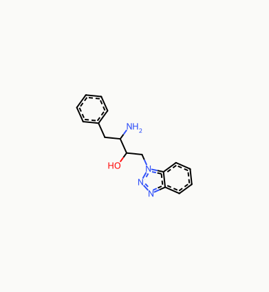 NC(Cc1ccccc1)C(O)Cn1nnc2ccccc21